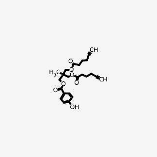 C#CCCCC(=O)OCC(C)(COC(=O)CCCC#C)COC(=O)c1ccc(O)cc1